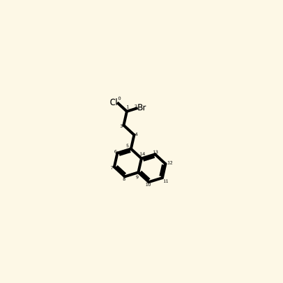 ClC(Br)CCc1cccc2ccccc12